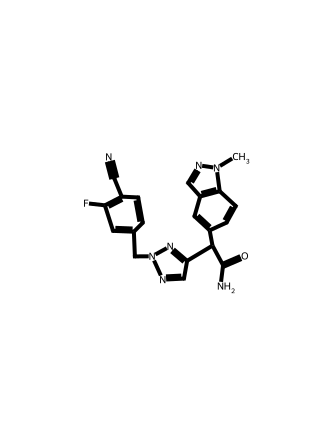 Cn1ncc2cc(C(C(N)=O)c3cnn(Cc4ccc(C#N)c(F)c4)n3)ccc21